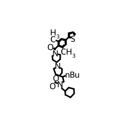 CCCCC1CN(CC2CCCCC2)C(=O)OC12CCN(C1CCN(C(=O)c3c(C)cc(-c4cccs4)cc3C)CC1)CC2